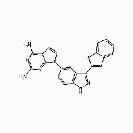 Nc1nc(N)c2ccn(-c3ccc4[nH]nc(-c5cc6ccccc6s5)c4c3)c2n1